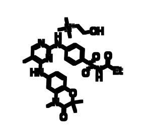 CCC(=O)NS(=O)(=O)c1ccc(Nc2ncc(C)c(Nc3ccc4c(c3)N(C)C(=O)C(C)(C)O4)n2)cc1.C[N+](C)(C)CCO